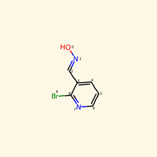 O/N=C/c1cccnc1Br